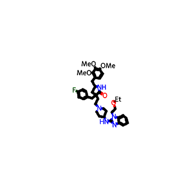 CCOCCn1c(NC2CCN(CCC3(Cc4ccc(F)cc4)CC(Cc4ccc(OC)c(OC)c4OC)NC3=O)CC2)nc2ccccc21